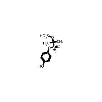 CC(C)(OS(=O)(=O)O)S(=O)(=O)Oc1ccc(O)cc1